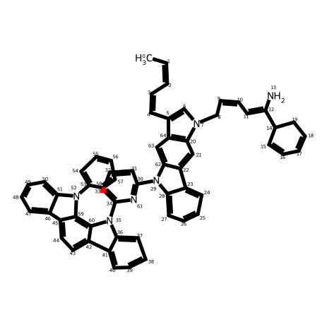 C/C=C\C=C/c1cn(C/C=C\C=C(/N)C2C=CC=CC2)c2cc3c4ccccc4n(-c4cccc(-n5c6ccccc6c6ccc7c8ccccc8n(-c8ccccc8)c7c65)n4)c3cc12